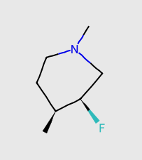 C[C@H]1CCN(C)C[C@H]1F